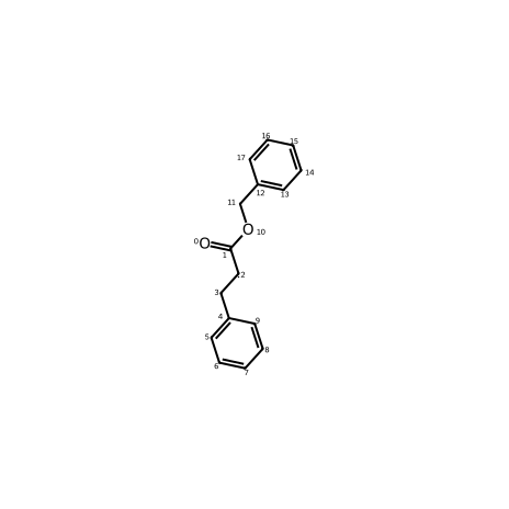 O=C([CH]Cc1ccccc1)OCc1ccccc1